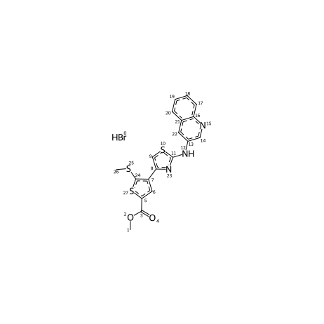 Br.COC(=O)c1cc(-c2csc(Nc3cnc4ccccc4c3)n2)c(SC)s1